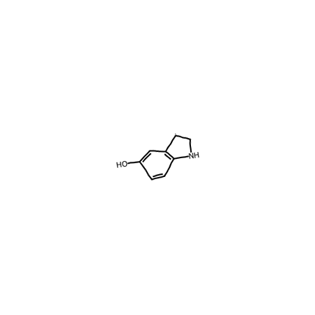 Oc1ccc2c(c1)[CH]CN2